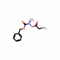 CCC(=O)ON(C)C(=O)OCc1ccccc1